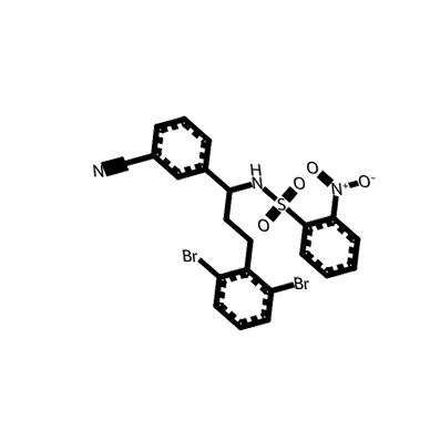 N#Cc1cccc(C(CCc2c(Br)cccc2Br)NS(=O)(=O)c2ccccc2[N+](=O)[O-])c1